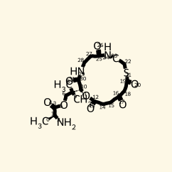 C[C@H](N)C(=O)OCC(C)(C)[C@H]1OC(=O)CCC(=O)CC(=O)SCCNC(=O)CCNC1=O